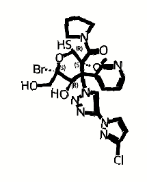 CO[C@@]1(C(=O)N2CCCC2)[C@@H](S)O[C@](Br)(CO)[C@H](O)C1(c1cccnc1)n1cc(-n2ccc(Cl)n2)nn1